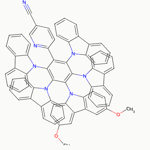 COc1ccc2c(c1)c1cc(OC)ccc1n2-c1c(-n2c3ccccc3c3ccccc32)c(-n2c3ccccc3c3ccccc32)c(-c2ccc(C#N)cn2)c(-n2c3ccccc3c3ccccc32)c1-n1c2ccccc2c2ccccc21